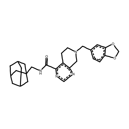 O=C(NCC12CC3CC(CC(C3)C1)C2)c1ncnc2c1CCN(Cc1ccc3c(c1)OCO3)C2